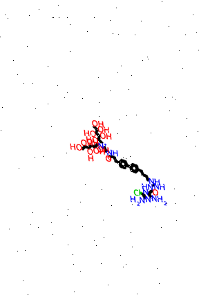 N=C(NCCCCc1ccc(-c2ccc(CCC(=O)NCC[N+](O)(C[C@H](O)[C@@H](O)[C@H](O)[C@H](O)CO)C[C@H](O)[C@@H](O)[C@H](O)[C@H](O)CO)cc2)cc1)NC(=O)c1nc(Cl)c(N)nc1N